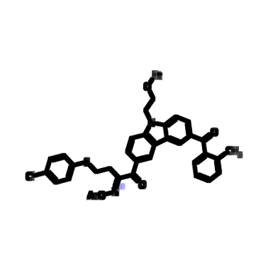 CCOCCn1c2ccc(C(=O)/C(CCSc3ccc(Cl)cc3)=N/OC(C)=O)cc2c2cc(C(=O)c3ccccc3C)ccc21